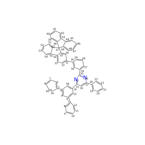 c1ccc(-c2cc(-c3ccccc3)cc(-c3cc(-c4ccccc4)nc(-c4cccc(-c5ccc6c(c5)C5(c7ccccc7-c7ccccc75)c5ccccc5-6)c4)n3)c2)cc1